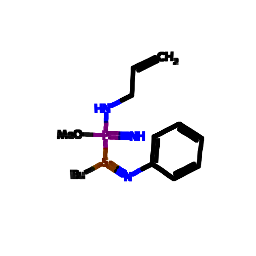 C=CCNP(=N)(OC)S(=Nc1ccccc1)C(C)CC